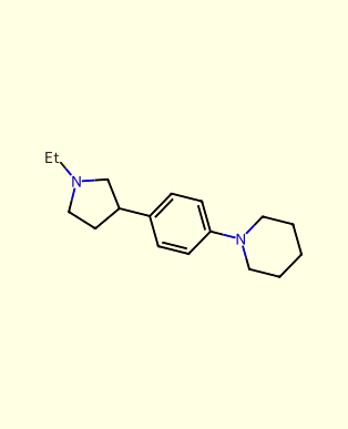 CCN1CCC(c2ccc(N3CCCCC3)cc2)C1